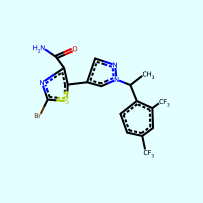 CC(c1ccc(C(F)(F)F)cc1C(F)(F)F)n1cc(-c2sc(Br)nc2C(N)=O)cn1